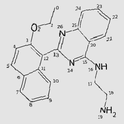 CCOc1ccc2ccccc2c1-c1nc(NCCN)c2ccccc2n1